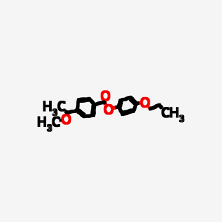 CCCOc1ccc(OC(=O)c2ccc(C(C)OC)cc2)cc1